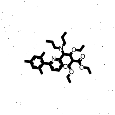 CCCN(CCC)C(c1cccc(-c2c(C)cc(C)cc2C)n1)C(OCC)C(C(=O)OCC)C(=O)OCC